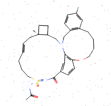 CCC(=O)N[S@]1(=O)=NC(=O)c2ccc3c(c2)N(Cc2ccc(Cl)cc2CCCCO3)C[C@@H]2CC[C@H]2[C@@H](OC)/C=C/CCC1